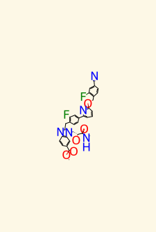 CNC(=O)[C@@H](Cn1c(Cc2ccc(-c3cccc(OCc4ccc(C#N)cc4F)n3)cc2F)nc2ccc(C(=O)OC)cc21)OC